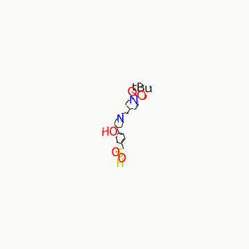 CC(C)(C)OC(=O)N1CCC(CCN2CCC(O)(c3ccc(C[SH](=O)=O)cc3)CC2)CC1